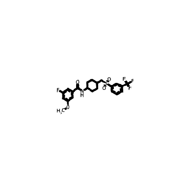 COc1cc(F)cc(C(=O)NC2CCC(CS(=O)(=O)c3cccc(C(F)(F)F)c3)CC2)c1